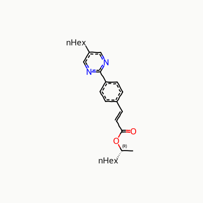 CCCCCCc1cnc(-c2ccc(C=CC(=O)O[C@H](C)CCCCCC)cc2)nc1